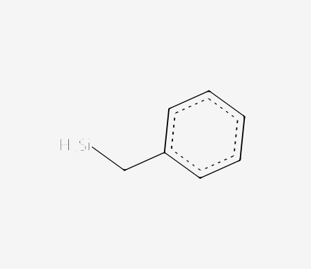 [SiH3]Cc1cc[c]cc1